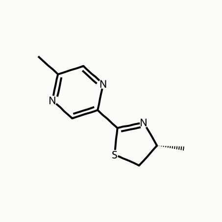 Cc1cnc(C2=N[C@H](C)CS2)cn1